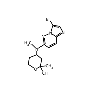 CN(c1ccc2ncc(Br)n2n1)C1CCOC(C)(C)C1